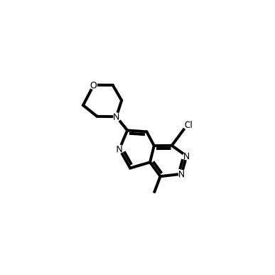 Cc1nnc(Cl)c2cc(N3CCOCC3)ncc12